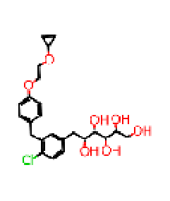 OC[C@H](O)[C@@H](O)[C@H](O)[C@@H](O)Cc1ccc(Cl)c(Cc2ccc(OCCOC3CC3)cc2)c1